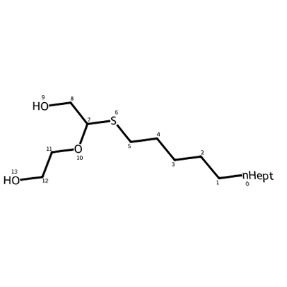 CCCCCCCCCCCCSC(CO)OCCO